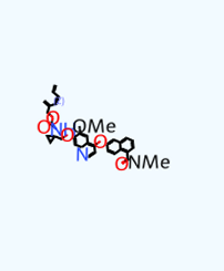 C=C/C=C\C(=C)COC(=O)NC1(COc2cc3nccc(Oc4ccc5c(C(=O)NC)cccc5c4)c3cc2OC)CC1